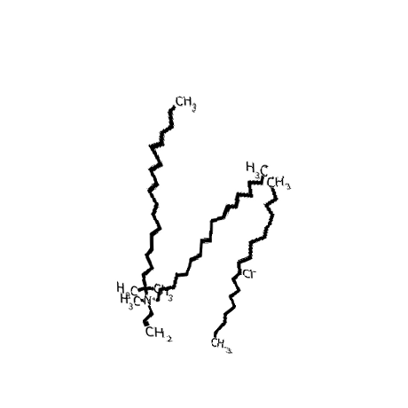 C=CC[N+](C)(CCCCCCCCCCCCCCCCCC)C(C)(C)CCCCCCCCCCCCCCCCCC.CCCCCCCCCCCCCCCCCC.[Cl-]